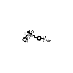 COC(=O)c1ccc(CCNC(=O)C2(NC(=O)c3cncnc3)CC2)cc1